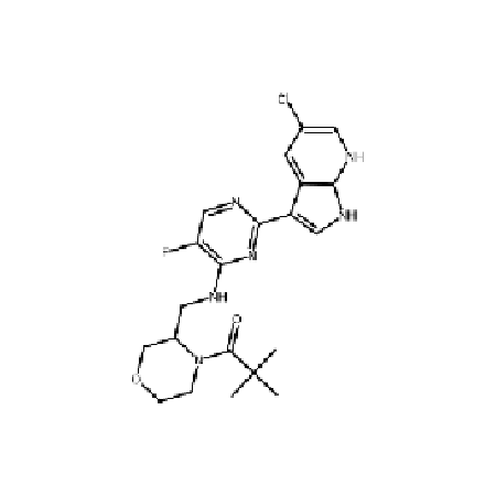 CC(C)(C)C(=O)N1CCOCC1CNc1nc(C2=CNC3NC=C(Cl)C=C23)ncc1F